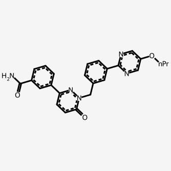 CCCOc1cnc(-c2cccc(Cn3nc(-c4cccc(C(N)=O)c4)ccc3=O)c2)nc1